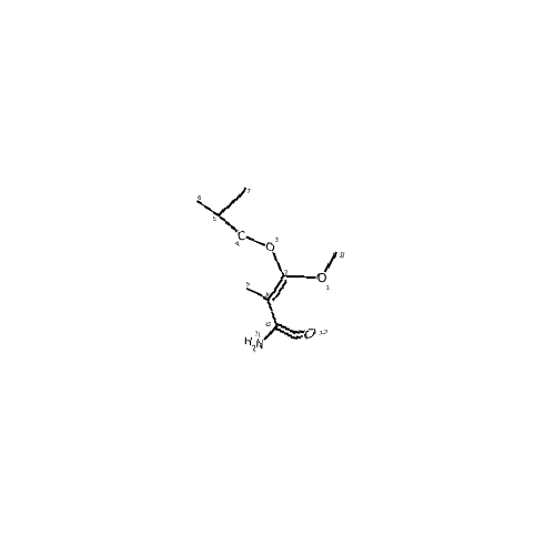 COC(OCC(C)C)=C(C)C(N)=O